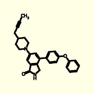 CC#CCC1CCN(c2cc3c(c(-c4ccc(Oc5ccccc5)cc4)c2)CNC3=O)CC1